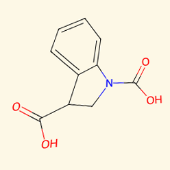 O=C(O)C1CN(C(=O)O)c2ccccc21